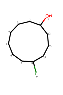 OC1CCCCCCC(F)CCC1